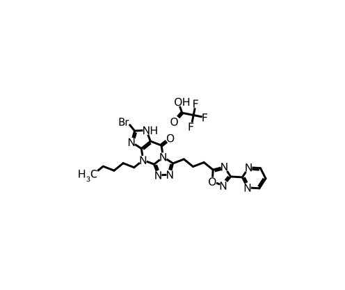 CCCCCn1c2nc(Br)[nH]c2c(=O)n2c(CCCc3nc(-c4ncccn4)no3)nnc12.O=C(O)C(F)(F)F